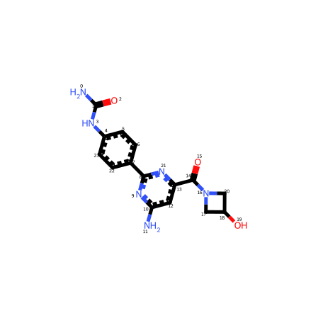 NC(=O)Nc1ccc(-c2nc(N)cc(C(=O)N3CC(O)C3)n2)cc1